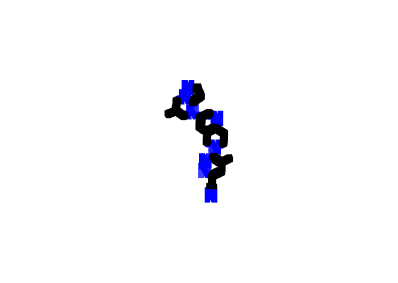 Cc1cc(C#N)nnc1N1CCc2ncc(N3CC(C)Cn4nccc43)cc2C1